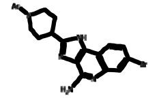 CC(=O)N1CCC(c2nc3c(N)nc4cc(Br)ccc4c3[nH]2)CC1